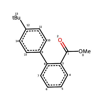 COC(=O)c1ccccc1-c1ccc(C(C)(C)C)cc1